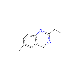 CCc1ncc2cc(C)ccc2n1